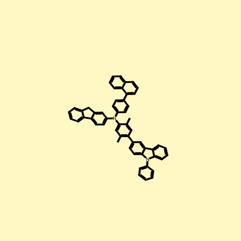 Cc1cc(N(c2ccc(-c3cccc4ccccc34)cc2)c2ccc3c(c2)Cc2ccccc2-3)c(C)cc1-c1ccc2c(c1)c1ccccc1n2-c1ccccc1